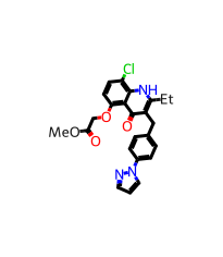 CCc1[nH]c2c(Cl)ccc(OCC(=O)OC)c2c(=O)c1Cc1ccc(-n2cccn2)cc1